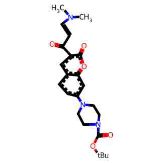 CN(C)/C=C/C(=O)c1cc2ccc(N3CCN(C(=O)OC(C)(C)C)CC3)cc2oc1=O